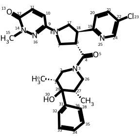 C[C@@H]1CN(C(=O)[C@@H]2CN(c3ccc(=O)n(C)n3)C[C@H]2c2ccc(Cl)cn2)C[C@H](C)C1(O)c1ccccc1